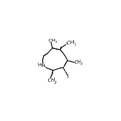 CC1CNC(C)C(I)C(C)C1C